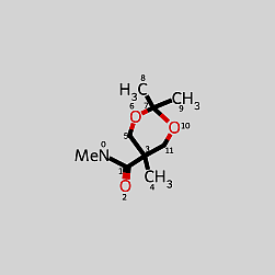 CNC(=O)C1(C)COC(C)(C)OC1